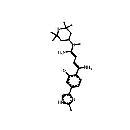 Cc1nc(-c2ccc(/C(N)=C/C=C(\N)N(C)C3CC(C)(C)NC(C)(C)C3)c(O)c2)c[nH]1